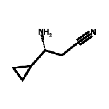 N#CC[C@@H](N)C1CC1